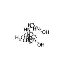 CC(C)(C)Nc1nc(Nc2cc(CNCCO)ccn2)cc2ccn(CCO)c(=O)c12